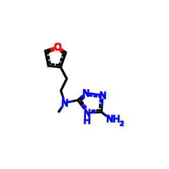 CN(CCc1ccoc1)c1nnc(N)[nH]1